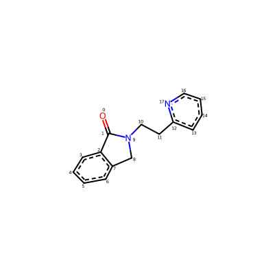 O=C1c2ccccc2CN1CCc1ccccn1